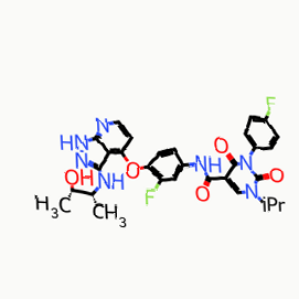 CC(C)n1cc(C(=O)Nc2ccc(Oc3ccnc4[nH]nc(N[C@H](C)[C@H](C)O)c34)c(F)c2)c(=O)n(-c2ccc(F)cc2)c1=O